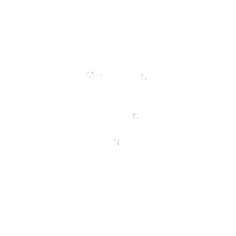 COc1cncc(N2CCC3(CCCN3C)C2)c1